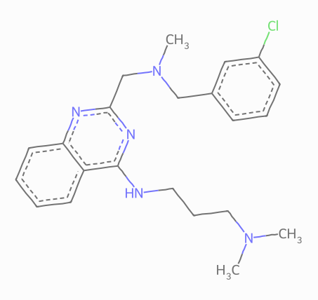 CN(C)CCCNc1nc(CN(C)Cc2cccc(Cl)c2)nc2ccccc12